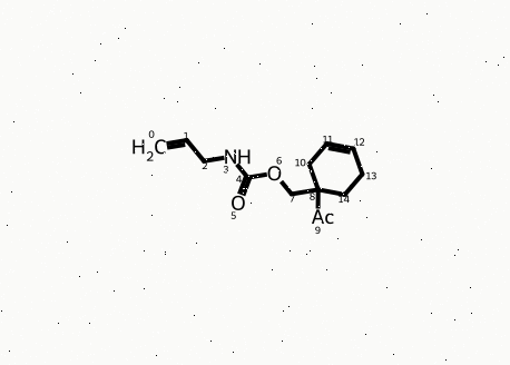 C=CCNC(=O)OCC1(C(C)=O)CC=CCC1